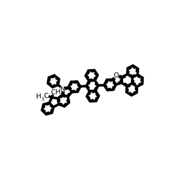 CC1(C)c2ccccc2-c2ccc3c4cc(-c5c6ccccc6c(-c6ccc7c(c6)oc6c8cccc9ccc%10cccc(c76)c%10c98)c6ccccc56)ccc4n(-c4ccccc4)c3c21